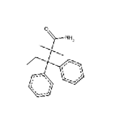 CCC(c1ccccc1)(c1ccccc1)C(C)(C)C(N)=O